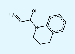 C=CC(O)N1CCCc2ccccc21